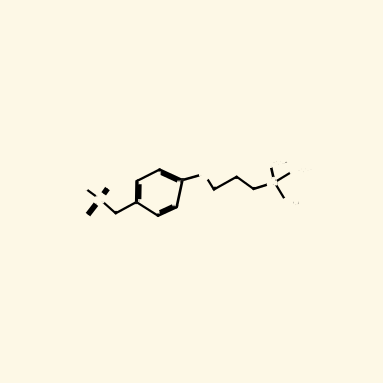 CO[Si](CCCOc1ccc(CS(C)(=O)=O)cc1)(OC)OC